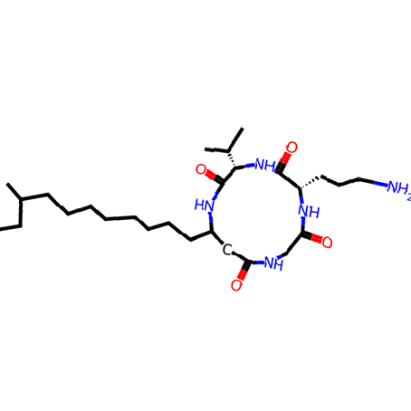 CCC(C)CCCCCCCCC1CC(=O)NCC(=O)N[C@@H](CCCN)C(=O)N[C@@H](C(C)C)C(=O)N1